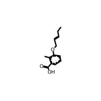 CCC=CCOc1cccc(C(=O)O)c1C